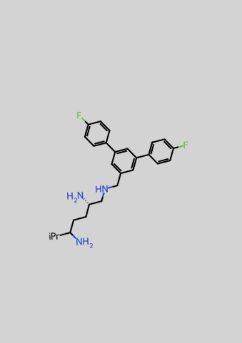 CC(C)C(N)CC[C@H](N)CNCc1cc(-c2ccc(F)cc2)cc(-c2ccc(F)cc2)c1